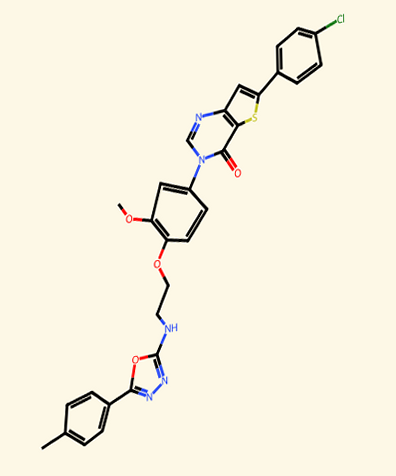 COc1cc(-n2cnc3cc(-c4ccc(Cl)cc4)sc3c2=O)ccc1OCCNc1nnc(-c2ccc(C)cc2)o1